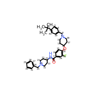 CC(C)(C)c1ccc(CN2CCC(Oc3ccc(C(=O)NC4CCN(Cc5ccccc5)CC4)cc3F)CC2)cc1